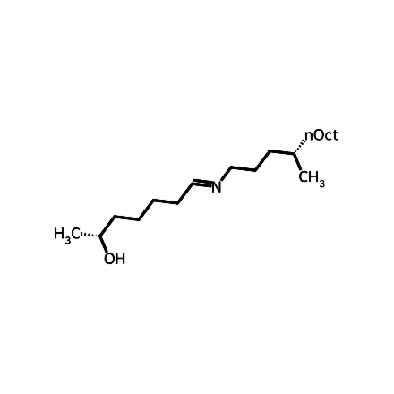 CCCCCCCC[C@H](C)CCC/N=C/CCCC[C@@H](C)O